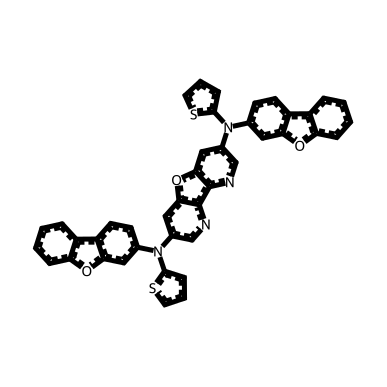 c1csc(N(c2ccc3c(c2)oc2ccccc23)c2cnc3c(c2)oc2cc(N(c4ccc5c(c4)oc4ccccc45)c4cccs4)cnc23)c1